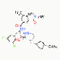 CCCN(CCC)C(=O)c1cc(C)cc(C(=O)N[C@@H](Cc2cc(F)cc(F)c2)[C@H](O)[C@H]2C[C@@H](Cc3ccc(OC)cc3)CCN2)c1